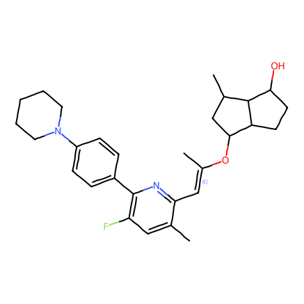 C/C(=C\c1nc(-c2ccc(N3CCCCC3)cc2)c(F)cc1C)OC1CC(C)C2C(O)CCC12